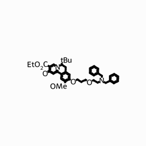 CCOC(=O)c1cn2c(cc1=O)-c1cc(OC)c(OCCCOCCN(Cc3ccccc3)Cc3ccccc3)cc1CC2C(C)(C)C